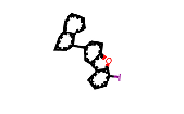 Ic1cccc2c1oc1ccc(-c3cccc4ccccc34)cc12